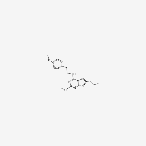 CCCc1cc2c(NCCc3ccc(OC)cc3)nc(OC)nc2s1